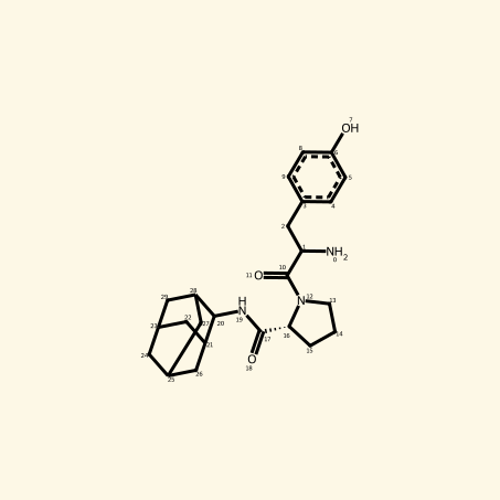 NC(Cc1ccc(O)cc1)C(=O)N1CCC[C@@H]1C(=O)NC1C2CC3CC(C2)CC1C3